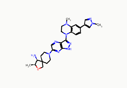 C[C@@H]1OCC2(CCN(c3cnc4c(N5CCN(C)c6cc(-c7cnn(C)c7)ccc65)n[nH]c4n3)CC2)[C@@H]1N